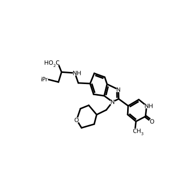 Cc1cc(-c2nc3ccc(CNC(CC(C)C)C(=O)O)cc3n2CC2CCOCC2)c[nH]c1=O